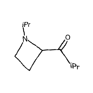 CC(C)C(=O)C1CCN1C(C)C